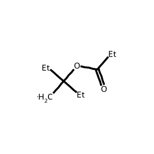 [CH2]C(CC)(CC)OC(=O)CC